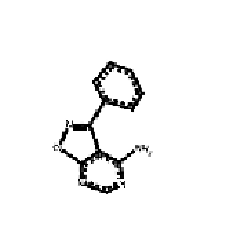 Nc1ncnc2c1C(c1ccccc1)=N[N]2